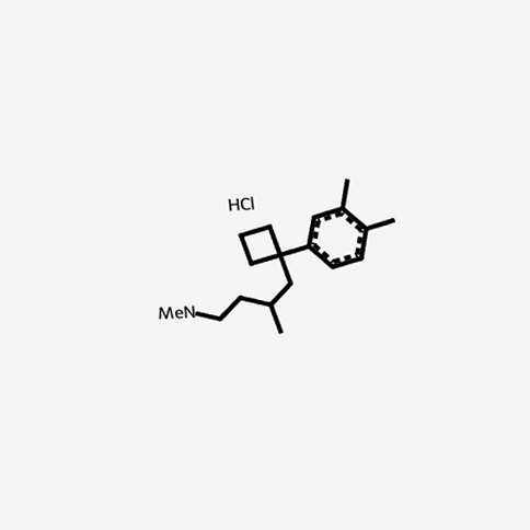 CNCCC(C)CC1(c2ccc(C)c(C)c2)CCC1.Cl